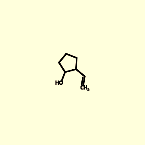 C=CC1CCCC1O